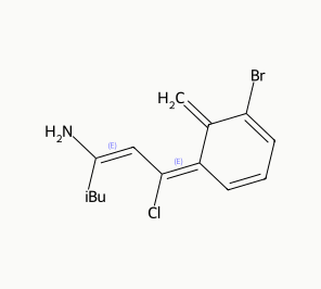 C=c1c(Br)ccc/c1=C(Cl)/C=C(/N)C(C)CC